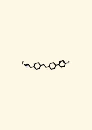 F/C=C/CC1CCC(CCC2CCC(c3ccc(F)cc3)CC2)CC1